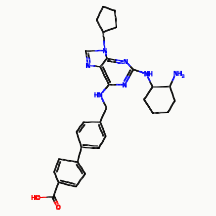 NC1CCCCC1Nc1nc(NCc2ccc(-c3ccc(C(=O)O)cc3)cc2)c2ncn(C3CCCC3)c2n1